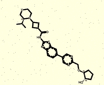 CC(C)[C@H]1COCCN1C1CC(C(=O)Nc2nc3ccc(-c4cnc(CO[C@H]5CCC[C@@H]5O)nc4)cc3s2)C1